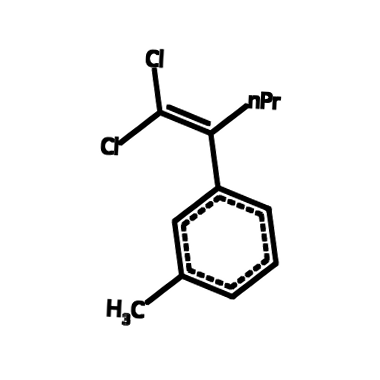 CCCC(=C(Cl)Cl)c1cccc(C)c1